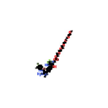 COCCOCCOCCOCCOCCOCCOC(=O)OCN/C=C(\C(=N)C(F)(F)F)C1(O)CC2CC(c3nn(C)c(N)c3C(=O)Nc3ccc(F)c(C)c3)CC2C1